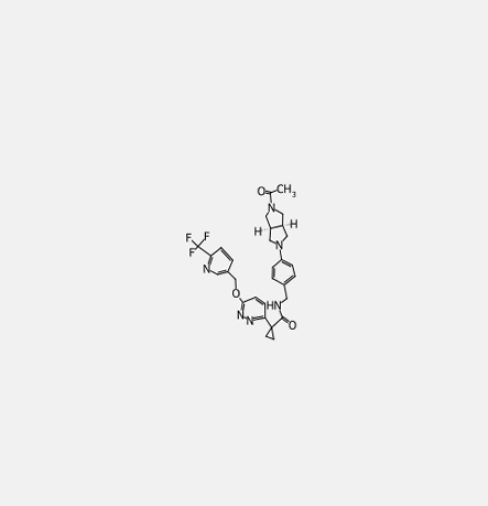 CC(=O)N1C[C@@H]2CN(c3ccc(CNC(=O)C4(c5ccc(OCc6ccc(C(F)(F)F)nc6)nn5)CC4)cc3)C[C@@H]2C1